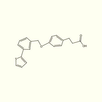 O=C(O)CCc1ccc(OCc2cccc(-c3cccs3)c2)cc1